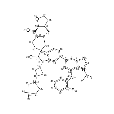 CC(C)n1cnc2cc(-c3ccc4c(c3)N([C@H]3C[C@@H](N5CCC(C)(C)C5)C3)C(=O)C43CCN(C(=O)[C@H]4OCC[C@H]4C)CC3)nc(Nc3ccncc3F)c21